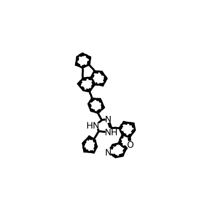 c1ccc(C2NC(c3cccc4oc5ccncc5c34)=NC(c3ccc(-c4ccc5c6c(cccc46)-c4ccccc4-5)cc3)N2)cc1